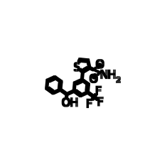 NS(=O)(=O)c1ccsc1-c1cc(C(O)c2ccccc2)cc(C(F)(F)F)c1